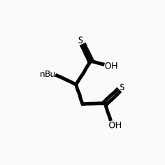 CCCCC(CC(O)=S)C(O)=S